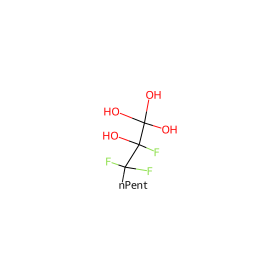 CCCCCC(F)(F)C(O)(F)C(O)(O)O